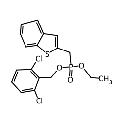 CCOP(=O)(Cc1cc2ccccc2s1)OCc1c(Cl)cccc1Cl